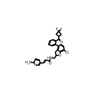 Nc1ccc(/C=C/C(=O)NCC2Cc3c(-c4ccccc4C(=O)C4CC(F)(F)C4)ccc(Cl)c3O2)cn1